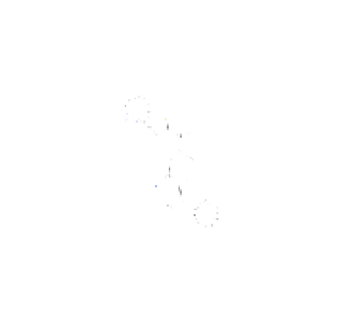 CN/C(=C1/CCN(C(=O)c2cc3[nH]ccc3s2)CC1=N)c1ccccc1